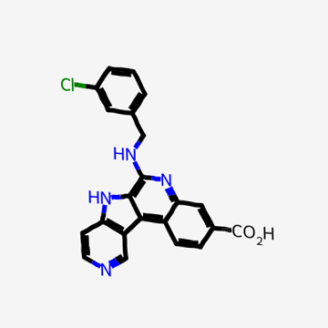 O=C(O)c1ccc2c(c1)nc(NCc1cccc(Cl)c1)c1[nH]c3ccncc3c12